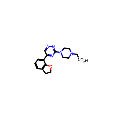 O=C(O)CN1CCN(c2nncc(-c3cccc4c3OCC4)n2)CC1